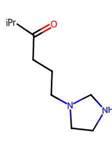 CC(C)C(=O)CCCN1CCNC1